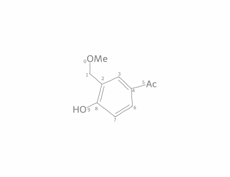 COCc1cc(C(C)=O)ccc1O